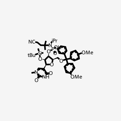 COc1ccc(C(OC[C@H]2O[C@@H](c3cn(C)c(=O)[nH]c3=O)[C@H](O[Si](C)(C)C(C)(C)C)[C@@H]2OP(=O)(O)N(C(C)C)C(C)(C)CCC#N)(c2ccccc2)c2ccc(OC)cc2)cc1